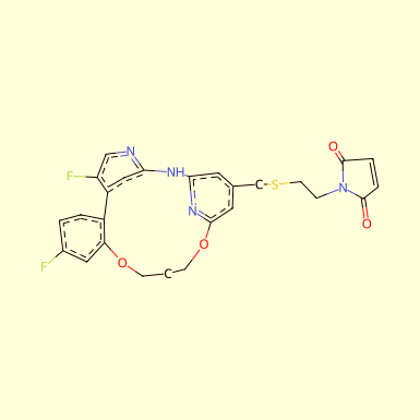 O=C1C=CC(=O)N1CCSCc1cc2nc(c1)OCCCOc1cc(F)ccc1-c1cc(ncc1F)N2